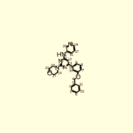 c1ccc(COc2cccc(-c3cc(Nc4cccnc4)nc(N4CCOCC4)n3)c2)cc1